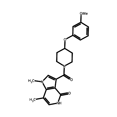 COc1cccc(OC2CCN(C(=O)c3cn(C)c4c(C)c[nH]c(=O)c34)CC2)c1